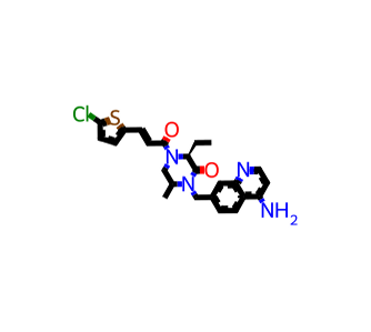 CC[C@H]1C(=O)N(Cc2ccc3c(N)ccnc3c2)C(C)CN1C(=O)C=Cc1ccc(Cl)s1